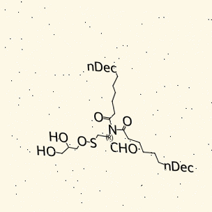 CCCCCCCCCCCCCCCC(=O)N(C(=O)CCCCCCCCCCCCCCC)[C@H]([C]=O)CSOCC(O)CO